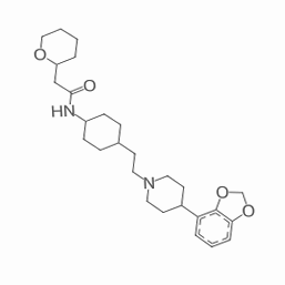 O=C(CC1CCCCO1)NC1CCC(CCN2CCC(c3cccc4c3OCO4)CC2)CC1